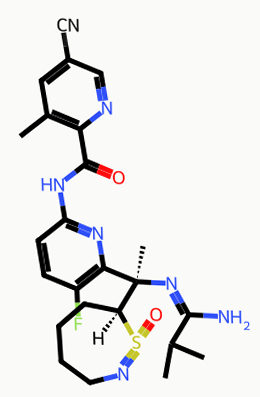 Cc1cc(C#N)cnc1C(=O)Nc1ccc(F)c([C@@]2(C)N=C(N)C(C)(C)[S@@]3(=O)=NCCCC[C@@H]23)n1